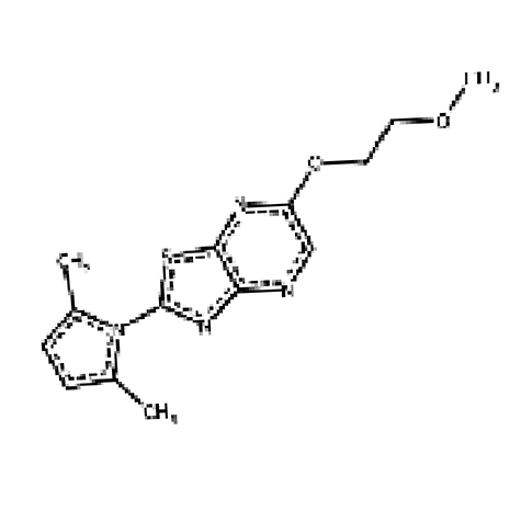 COCCOc1cnc2nc(-n3c(C)ccc3C)sc2n1